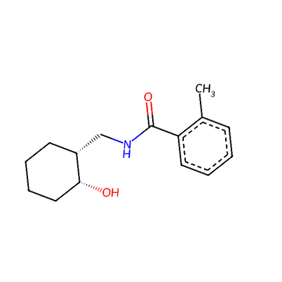 Cc1ccccc1C(=O)NC[C@H]1CCCC[C@H]1O